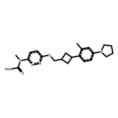 CNC(=O)N(C)c1ccc(OCC2CC(c3ccc(N4CCCC4)cc3C)C2)nn1